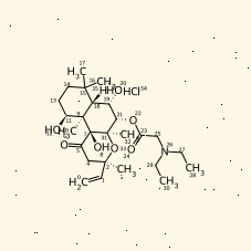 C=C[C@@]1(C)CC(=O)[C@]2(O)[C@@]3(C)[C@@H](O)CCC(C)(C)[C@@H]3[C@H](O)[C@H](OC(=O)CN(CC)CC)[C@@]2(C)O1.Cl